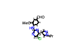 COc1cc(C=O)ccc1Nc1ncc(Cl)c(-c2cnn(C(C)C)c2)n1